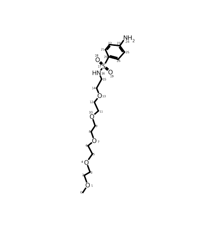 COCCOCCOCCOCCOCCNS(=O)(=O)c1ccc(N)cc1